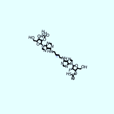 O=[PH](S)O[C@@H]1C(CO)O[C@@H](n2cnc3c(NC/C=C/CNc4ncnc5c4ncn5C4OC(CO)[C@@H](O)[C@H]4O[PH](=O)S)ncnc32)[C@@H]1F